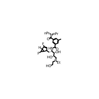 CCCN(CCC)C(=O)c1cc(C)cc(C(=O)N[C@@H](CC2C=C(F)[C@H]3C(F)C23)[C@H](O)[C@@H](O)CN(CC)CCO)c1